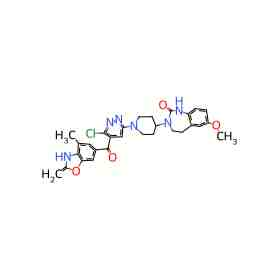 C=C1Nc2c(C)cc(C(=O)c3cc(N4CCC(N5CCc6cc(OC)ccc6NC5=O)CC4)nnc3Cl)cc2O1